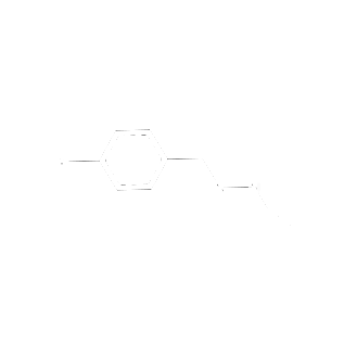 O=C(O)NNCc1ccc(Br)cc1